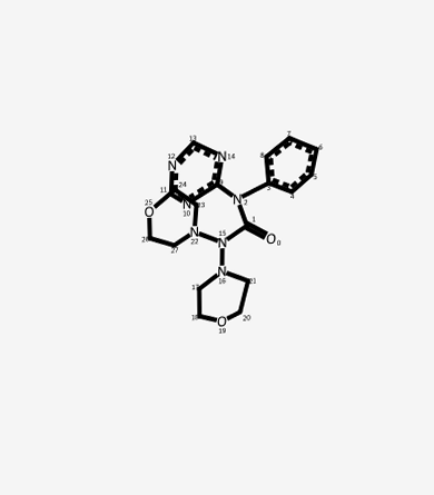 O=C(N(c1ccccc1)c1ncncn1)N(N1CCOCC1)N1CCOCC1